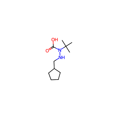 CC(C)(C)N(NCC1CCCC1)C(=O)O